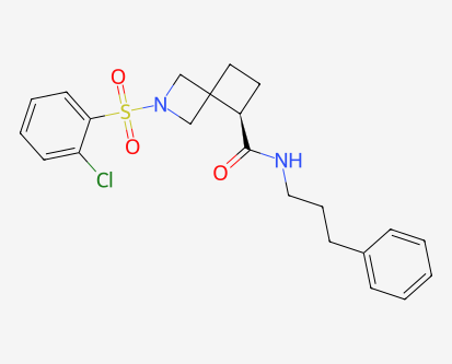 O=C(NCCCc1ccccc1)[C@@H]1CCC12CN(S(=O)(=O)c1ccccc1Cl)C2